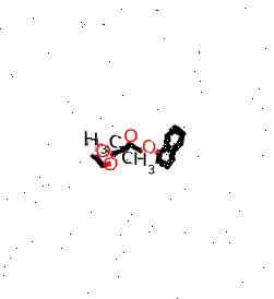 CC(C)(C(=O)COc1cccc2ccccc12)C1OCCO1